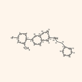 Cc1cc(F)ccc1-c1ccc2nc(NCCc3ccccn3)ncc2c1